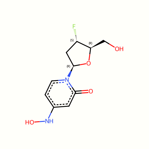 O=c1cc(NO)ccn1[C@H]1C[C@H](F)[C@@H](CO)O1